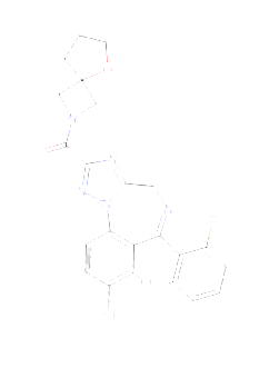 C[C@@H]1N=C(c2c(F)cccc2F)c2c(ccc(Cl)c2Cl)-n2nc(C(=O)N3CC4(CCCO4)C3)nc21